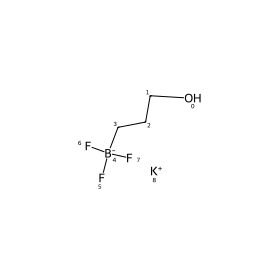 OCCC[B-](F)(F)F.[K+]